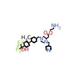 Cc1cc(CN2CCN(Cc3ccncc3)C(CC(=O)OCCN)C2)ccc1-c1ccc(C(O)(C(F)(F)F)C(F)(F)F)cc1